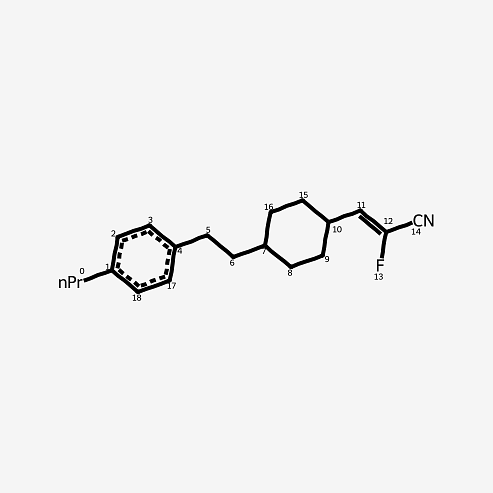 CCCc1ccc(CCC2CCC(C=C(F)C#N)CC2)cc1